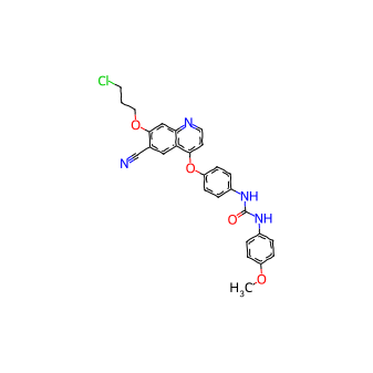 COc1ccc(NC(=O)Nc2ccc(Oc3ccnc4cc(OCCCCl)c(C#N)cc34)cc2)cc1